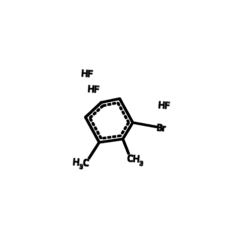 Cc1cccc(Br)c1C.F.F.F